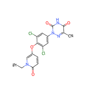 CC(C)Cn1cc(Oc2c(Cl)cc(-n3nc(C#N)c(=O)[nH]c3=O)cc2Cl)ccc1=O